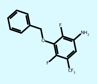 Nc1cc(C(F)(F)F)c(F)c(OCc2ccccc2)c1F